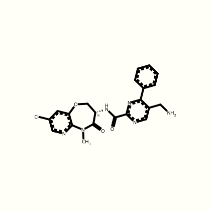 CN1C(=O)[C@@H](NC(=O)c2ncc(CN)c(-c3ccccc3)n2)COc2cc(Cl)cnc21